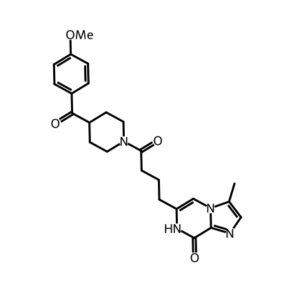 COc1ccc(C(=O)C2CCN(C(=O)CCCc3cn4c(C)cnc4c(=O)[nH]3)CC2)cc1